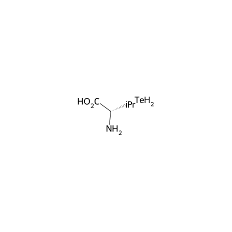 CC(C)[C@H](N)C(=O)O.[TeH2]